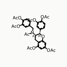 CC(=O)Oc1cc(OC(C)=O)c2c(c1)O[C@H](c1ccc(OC(C)=O)c(OC(C)=O)c1)[C@H](N(Cc1ccc(OC(C)=O)c(OC(C)=O)c1)C(C)=O)C2